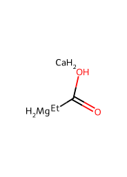 CCC(=O)O.[CaH2].[MgH2]